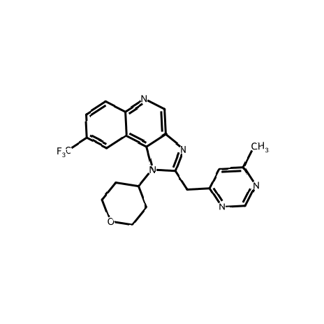 Cc1cc(Cc2nc3cnc4ccc(C(F)(F)F)cc4c3n2C2CCOCC2)ncn1